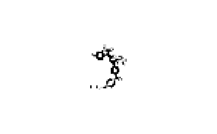 CC1(C)OC(=C2C(=O)Nc3cc(F)ccc32)C=C1c1ccc(C(=O)N2CCN(CC(=O)O)CC2)cc1